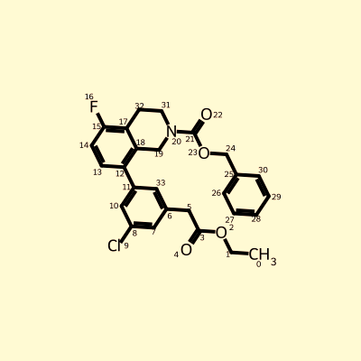 CCOC(=O)Cc1cc(Cl)cc(-c2ccc(F)c3c2CN(C(=O)OCc2ccccc2)CC3)c1